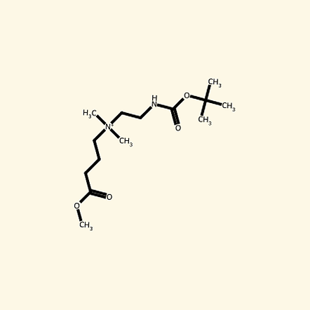 COC(=O)CCC[N+](C)(C)CCNC(=O)OC(C)(C)C